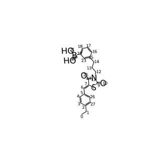 CCc1ccc(/C=C2\SC(=O)N(CCCc3cccc(B(O)O)c3)C2=O)cc1